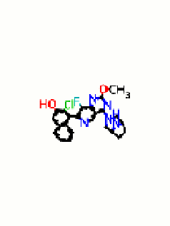 COc1nc(N2CC3CCC(C2)N3)c2cnc(-c3c(Cl)c(O)cc4ccccc34)c(F)c2n1